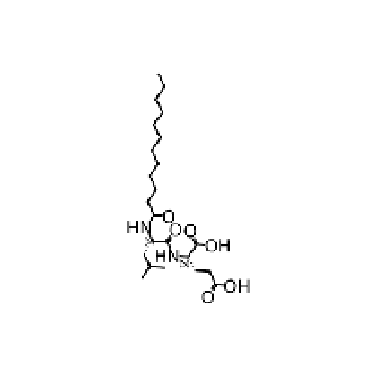 CCCCCCCCCCCC(=O)N[C@@H](CC(C)C)C(=O)N[C@@H](CCC(=O)O)C(=O)O